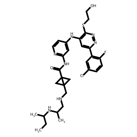 CCC(C)NC(C)CNCC12CC1(C(=O)Nc1cc(Nc3cc(-c4cc(Cl)ccc4F)nnc3SCCO)ccn1)C2